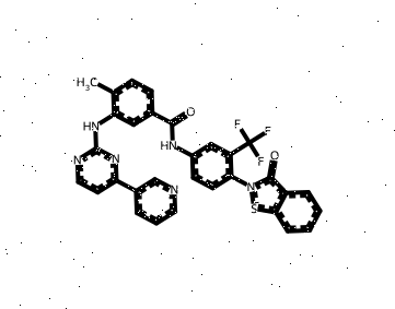 Cc1ccc(C(=O)Nc2ccc(-n3sc4ccccc4c3=O)c(C(F)(F)F)c2)cc1Nc1nccc(-c2cccnc2)n1